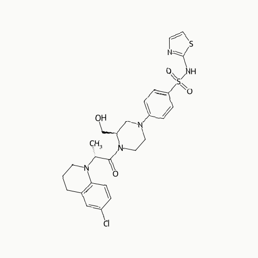 C[C@H](C(=O)N1CCN(c2ccc(S(=O)(=O)Nc3nccs3)cc2)C[C@@H]1CO)N1CCCc2cc(Cl)ccc21